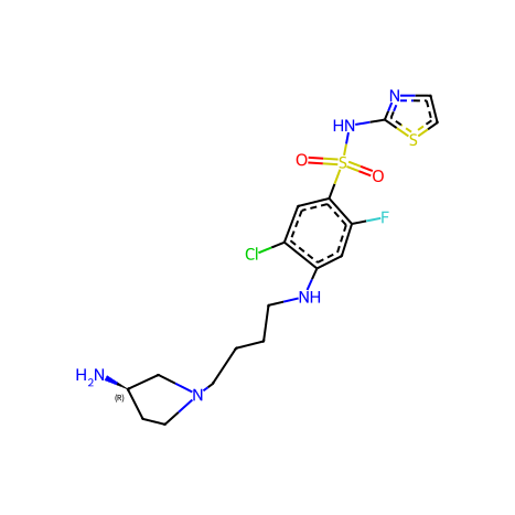 N[C@@H]1CCN(CCCCNc2cc(F)c(S(=O)(=O)Nc3nccs3)cc2Cl)C1